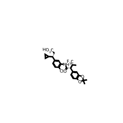 C[C@H]([C@@H](C(=O)Nc1cc([C@@H](CC(=O)O)C2CC2)ccc1Cl)c1ccc2c(c1)OC(C)(C)O2)C(F)(F)F